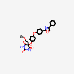 CCOCCC1(Oc2ccc(Oc3ccc(-c4nc(-c5ccccc5)co4)cc3)cc2)C(=O)NC(=O)NC1=O